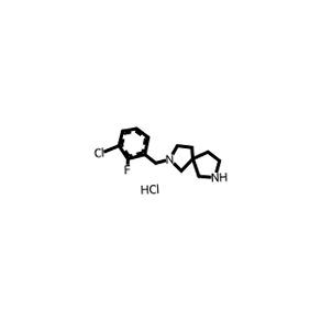 Cl.Fc1c(Cl)cccc1CN1CCC2(CCNC2)C1